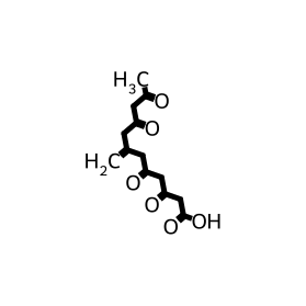 C=C(CC(=O)CC(C)=O)CC(=O)CC(=O)CC(=O)O